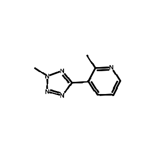 Cc1ncccc1-c1nnn(C)n1